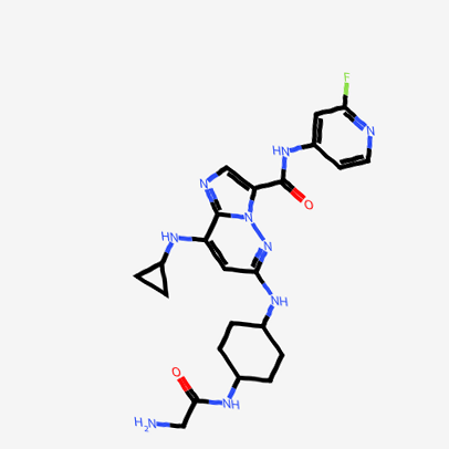 NCC(=O)NC1CCC(Nc2cc(NC3CC3)c3ncc(C(=O)Nc4ccnc(F)c4)n3n2)CC1